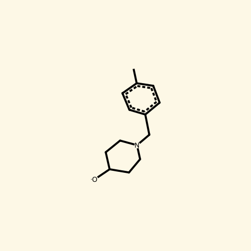 Cc1ccc(CN2CCC([O])CC2)cc1